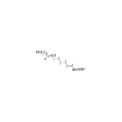 C[C@H](NCCCCCCN=[N+]=[N-])C(=O)O